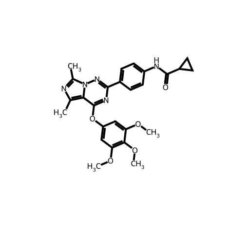 COc1cc(Oc2nc(-c3ccc(NC(=O)C4CC4)cc3)nn3c(C)nc(C)c23)cc(OC)c1OC